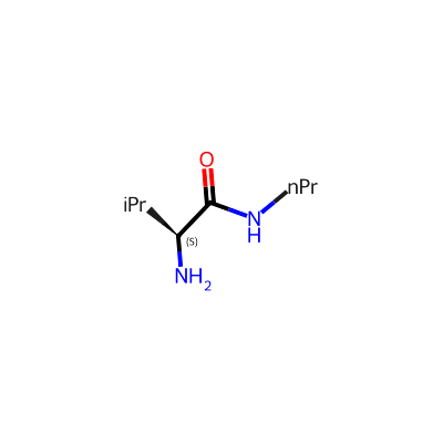 CCCNC(=O)[C@@H](N)C(C)C